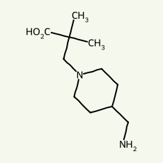 CC(C)(CN1CCC(CN)CC1)C(=O)O